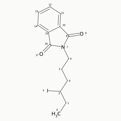 CCC(I)CCCN1C(=O)c2ccccc2C1=O